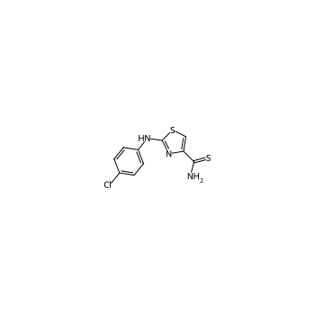 NC(=S)c1csc(Nc2ccc(Cl)cc2)n1